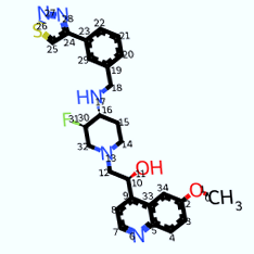 COc1ccc2nccc([C@H](O)CN3CC[C@@H](NCc4cccc(-c5csnn5)c4)[C@H](F)C3)c2c1